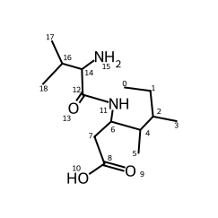 CCC(C)C(C)C(CC(=O)O)NC(=O)C(N)C(C)C